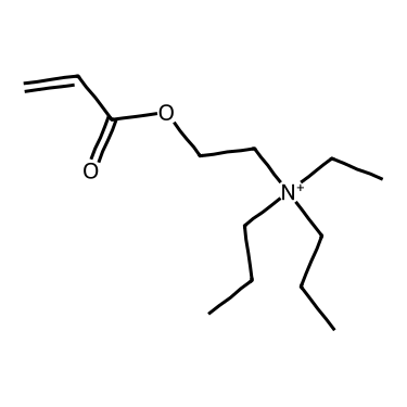 C=CC(=O)OCC[N+](CC)(CCC)CCC